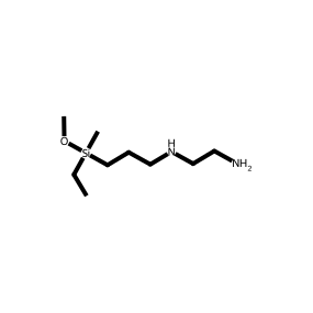 CC[Si](C)(CCCNCCN)OC